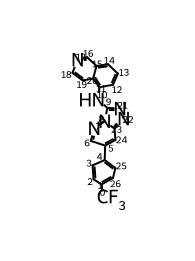 FC(F)(F)c1ccc(-c2cnn3c(Nc4cccc5cnccc45)nnc3c2)cc1